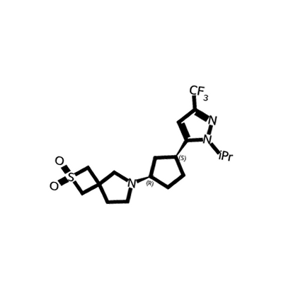 CC(C)n1nc(C(F)(F)F)cc1[C@H]1CC[C@@H](N2CCC3(C2)CS(=O)(=O)C3)C1